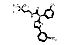 C[N+](C)(C)CCNC(=O)N(c1cccc(C(F)(F)F)c1)c1nc(-c2cccc([N+](=O)[O-])c2)cs1